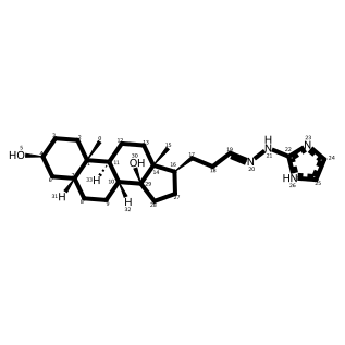 C[C@]12CC[C@H](O)C[C@H]1CC[C@@H]1[C@@H]2CC[C@]2(C)[C@@H](CC/C=N/Nc3ncc[nH]3)CC[C@]12O